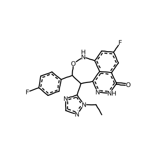 CCn1ncnc1C1c2n[nH]c(=O)c3cc(F)cc(c23)NOC1c1ccc(F)cc1